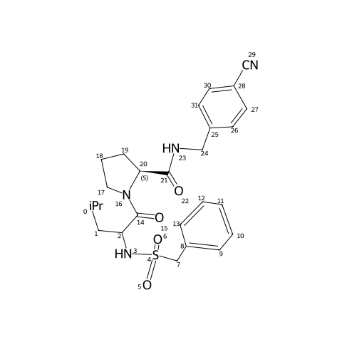 CC(C)CC(NS(=O)(=O)Cc1ccccc1)C(=O)N1CCC[C@H]1C(=O)NCc1ccc(C#N)cc1